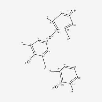 Cc1cccc(C)c1[O-].Cc1cccc(C)c1[O-].Cc1cccc(C)c1[O-].[Al+3]